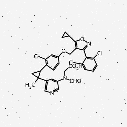 CC1(c2cncc(N(C=O)CC(=O)O)c2)CC1c1ccc(OCc2c(-c3c(Cl)cccc3Cl)noc2C2CC2)cc1Cl